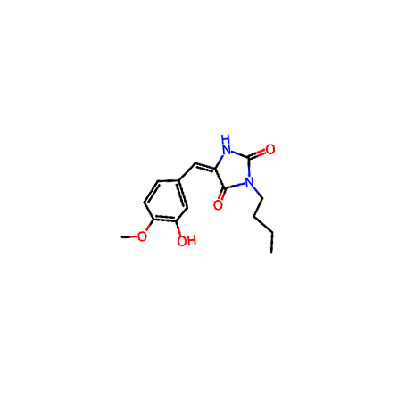 CCCCN1C(=O)NC(=Cc2ccc(OC)c(O)c2)C1=O